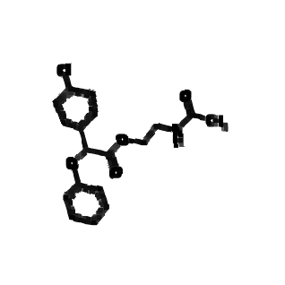 CC(=O)NCCOC(=O)C(Oc1ccccc1)c1ccc(Cl)cc1